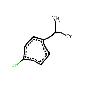 [CH2]C(c1ccc(Cl)cc1)C(C)C